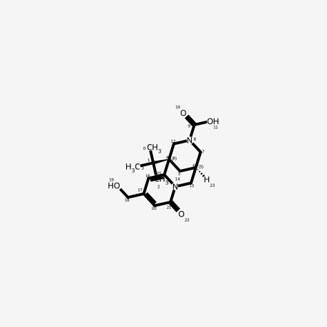 CC(C)(C)[C@]12C[C@@H](CN(C(=O)O)C1)Cn1c2cc(CO)cc1=O